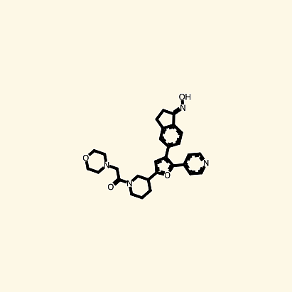 O=C(CN1CCOCC1)N1CCCC(c2cc(-c3ccc4c(c3)CC/C4=N\O)c(-c3ccncc3)o2)C1